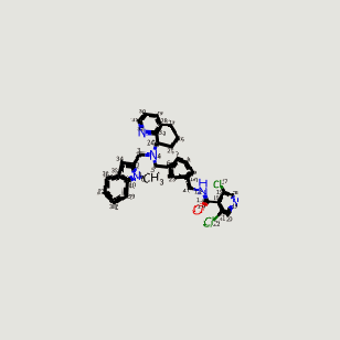 Cn1c(CN(Cc2cccc(CNC(=O)c3c(Cl)cncc3Cl)c2)C2CCCc3cccnc32)cc2ccccc21